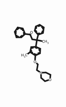 Cc1cc(C(C)(CC(=O)c2ccccc2)c2ccccc2)ccc1OCCN1CCOCC1